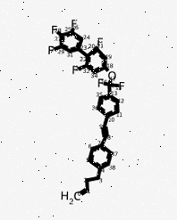 C=CCCc1ccc(C#Cc2ccc(C(F)(F)Oc3cc(F)c(-c4cc(F)c(F)c(F)c4)c(F)c3)cc2)cc1